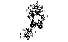 CC(c1ccccc1)C1NC(=O)CNC(=O)C(CO)NC(=O)C(C(O)C2CNC(=N)N2C2OC(CO)C(O)C(O)C2O)NC(=O)C(C(O)C2CNC(=N)N2)NC(=O)C(Cc2ccc(OC3OC(CO)C(OC4OC(CO)C(O)C(O)C4O)C(O)C3O)cc2N)NC1=O